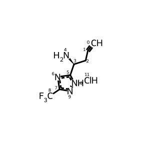 C#CC[C@H](N)c1nc(C(F)(F)F)n[nH]1.Cl